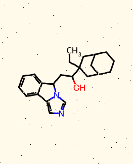 CCC1(C(O)CC2c3ccccc3-c3cncn32)CC2CCCC(C2)C1